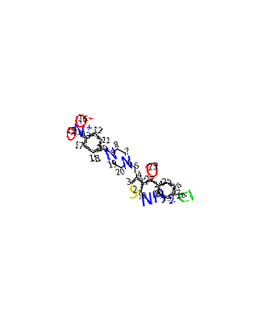 Nc1scc(CN2CCN(c3ccc([N+](=O)[O-])cc3)CC2)c1C(=O)c1ccc(Cl)cc1